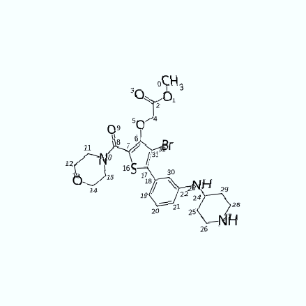 COC(=O)COc1c(C(=O)N2CCOCC2)sc(-c2cccc(NC3CCNCC3)c2)c1Br